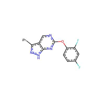 CC(C)c1n[nH]c2nc(Oc3ccc(F)cc3F)ncc12